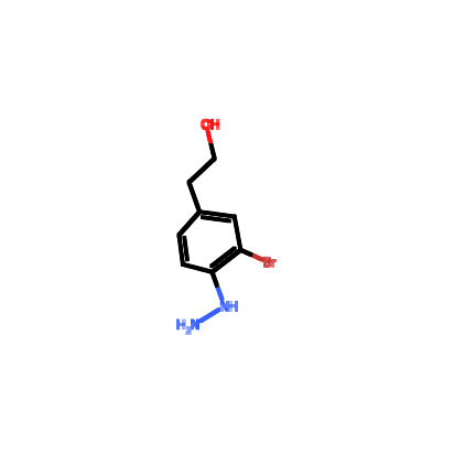 NNc1ccc(CCO)cc1Br